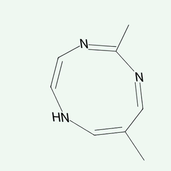 Cc1cnc(C)ncc[nH]c1